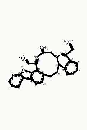 C=CC1=NC2CC(=C)/N=C(/C=C)c3c(ccc4c3oc3ncccc34)CCC2c2ccccc21